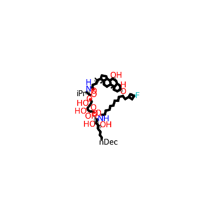 CCCCCCCCCCCCCC[C@@H](O)[C@@H](O)[C@H](COC1OC(COC(=O)[C@@H](NC(=O)CC[C@@H](C)C2CCC3C4C(CC[C@@]32C)[C@@]2(C)CC[C@@H](O)CC2C[C@H]4O)C(C)C)C(O)C(O)C1O)NC(=O)CCCCCCCCCCC12CC(F)(C1)C2